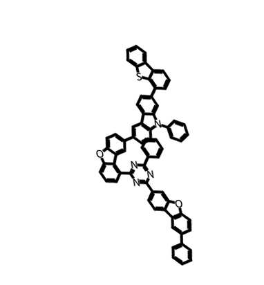 c1ccc(-c2ccc3oc4cc(-c5nc(-c6ccccc6)nc(-c6cccc7oc8ccc(-c9ccc%10c(c9)c9ccc(-c%11cccc%12c%11sc%11ccccc%11%12)cc9n%10-c9ccccc9)cc8c67)n5)ccc4c3c2)cc1